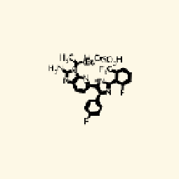 CC(n1c(N)nc2ccc(-c3[nH]c(-c4c(F)cccc4C(F)(F)F)nc3-c3ccc(F)cc3)nc21)C(C)(C)C.CS(=O)(=O)O